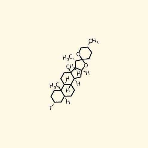 C[C@@H]1CC[C@@]2(OC1)O[C@H]1C[C@H]3[C@@H]4CC[C@H]5C[C@H](F)CC[C@]5(C)[C@H]4CC[C@]3(C)[C@H]1[C@@H]2C